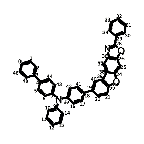 c1ccc(-c2ccc(N(c3ccccc3)c3ccc(-c4ccc5oc6cc7oc(-c8ccccc8)nc7cc6c5c4)cc3)cc2)cc1